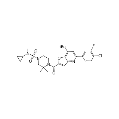 CC(C)(C)c1cc(-c2ccc(Cl)c(F)c2)nc2cc(C(=O)N3CCN(S(=O)(=O)NC4CC4)CC3(C)C)oc12